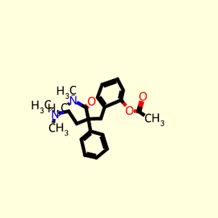 CC(=O)Oc1ccccc1CC(CCN(C)C)(C(=O)N(C)C)c1ccccc1